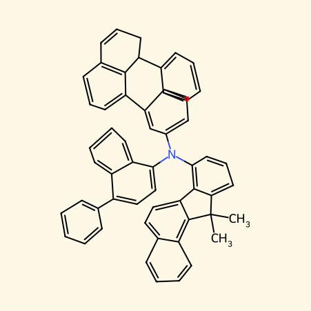 CC1(C)c2cccc(N(c3cccc(-c4cccc5c4C(c4ccccc4)CC=C5)c3)c3ccc(-c4ccccc4)c4ccccc34)c2-c2ccc3ccccc3c21